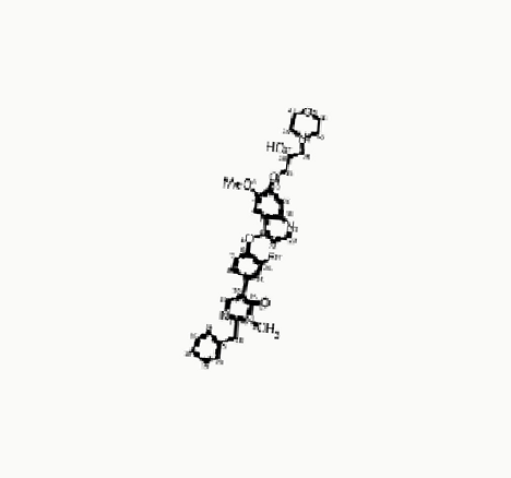 COc1cc2c(Oc3ccc(-c4cnc(Cc5ccccc5)n(C)c4=O)cc3F)ccnc2cc1OC[C@H](O)CN1CCOCC1